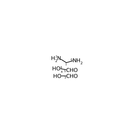 NCN.O=CO.O=CO